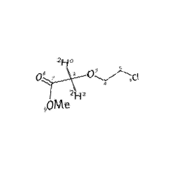 [2H]C([2H])(OCCCl)C(=O)OC